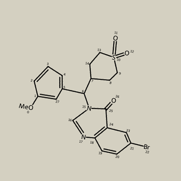 COc1cccc(C(C2CCS(=O)(=O)CC2)n2cnc3ccc(Br)cc3c2=O)c1